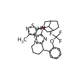 Cc1cc(N2CC3CCC(C2)C3Nc2nc3n(n2)CCCC3c2ccccc2OC(F)(F)F)sn1